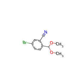 COC(OC)c1ccc(Br)cc1C#N